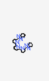 Cn1c(-c2cccc(-c3cccc(-c4cccc(-c5n(C)c6ccccc6[n+]5C)n4)n3)n2)[n+](C)c2ccccc21